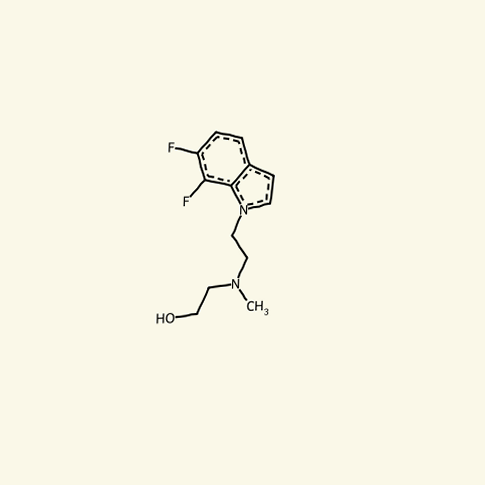 CN(CCO)CCn1ccc2ccc(F)c(F)c21